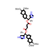 COc1cc2ccc([C@](OC(=O)/C=C/C(=O)O[C@@](c3ccc4cc(OC)c(OC)cc4c3)(c3c[nH]cn3)C(C)C)(c3c[nH]cn3)C(C)C)cc2cc1OC